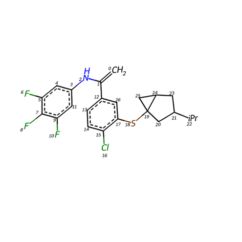 C=C(Nc1cc(F)c(F)c(F)c1)c1ccc(Cl)c(SC23CC(C(C)C)CC2C3)c1